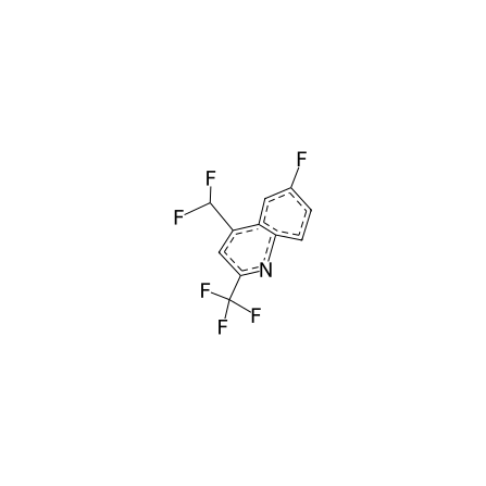 Fc1ccc2nc(C(F)(F)F)cc(C(F)F)c2c1